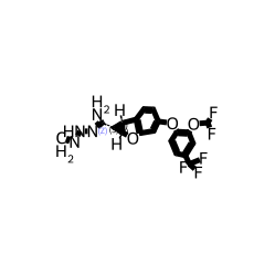 C=NN/N=C(\N)[C@H]1[C@@H]2Oc3cc(Oc4ccc(C(F)(F)F)cc4OC(F)F)ccc3[C@@H]21